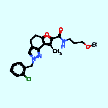 CCOCCCNC(=O)c1oc2c(c1C)-c1nn(Cc3ccccc3Cl)cc1CC2